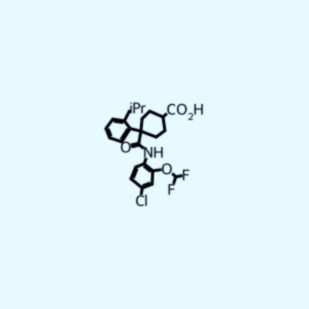 CC(C)c1ccccc1C1(C(=O)Nc2ccc(Cl)cc2OC(F)F)CCC(C(=O)O)CC1